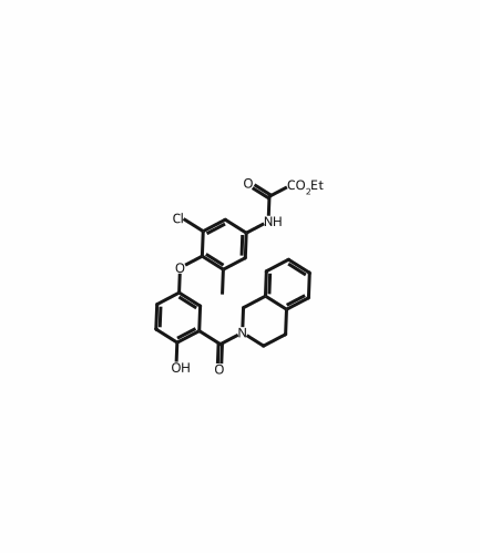 CCOC(=O)C(=O)Nc1cc(C)c(Oc2ccc(O)c(C(=O)N3CCc4ccccc4C3)c2)c(Cl)c1